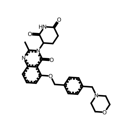 Cc1nc2cccc(OCc3ccc(CN4CCOCC4)cc3)c2c(=O)n1C1CCC(=O)NC1=O